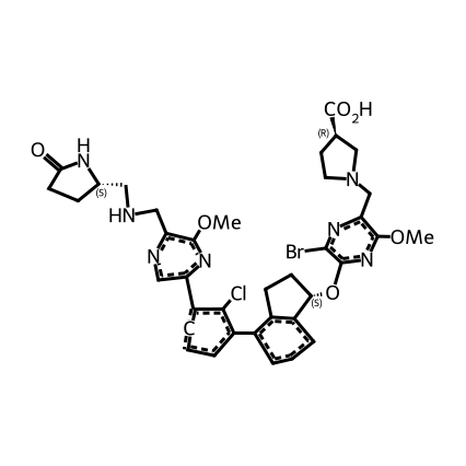 COc1nc(-c2cccc(-c3cccc4c3CC[C@@H]4Oc3nc(OC)c(CN4CC[C@@H](C(=O)O)C4)nc3Br)c2Cl)cnc1CNC[C@@H]1CCC(=O)N1